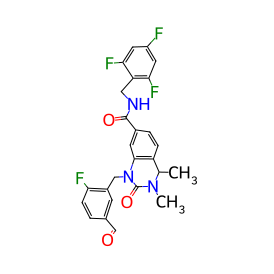 CC1c2ccc(C(=O)NCc3c(F)cc(F)cc3F)cc2N(Cc2cc(C=O)ccc2F)C(=O)N1C